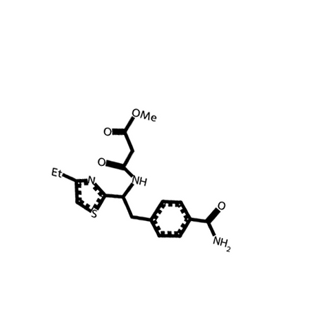 CCc1csc(C(Cc2ccc(C(N)=O)cc2)NC(=O)CC(=O)OC)n1